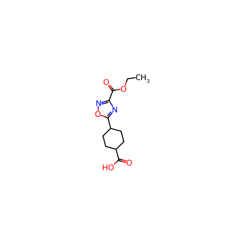 CCOC(=O)c1noc(C2CCC(C(=O)O)CC2)n1